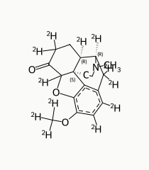 [2H]c1c([2H])c2c3c(c1OC([2H])([2H])[2H])OC1([2H])C(=O)C([2H])([2H])C[C@]4([2H])[C@@]31CCN(C)[C@]4([2H])C2([2H])[2H]